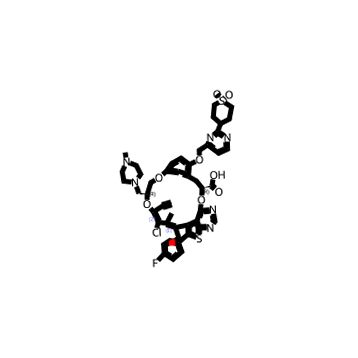 C#C/C1=C(Cl)\C(C)=C(/CC)c2c(-c3ccc(F)cc3)sc3ncnc(c23)O[C@@H](C(=O)O)Cc2cc(ccc2OCc2ccnc(C3CCS(=O)(=O)CC3)n2)OC[C@@H](CN2CCN(C)CC2)O1